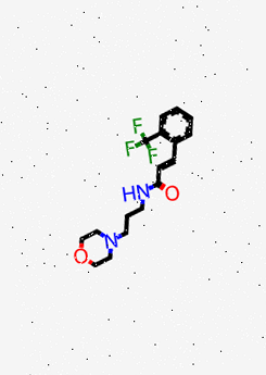 O=C(C=Cc1ccccc1C(F)(F)F)NCCCN1CCOCC1